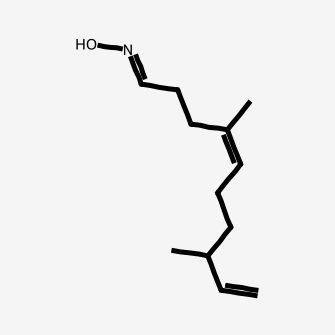 C=CC(C)CCC=C(C)CCC=NO